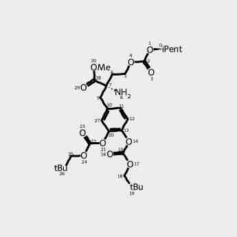 CCC[C@H](C)OC(=O)OCC[C@@](N)(Cc1ccc(OC(=O)OCC(C)(C)C)c(OC(=O)OCC(C)(C)C)c1)C(=O)OC